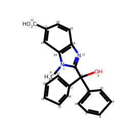 Cn1c(C(O)(c2ccccc2)c2ccccc2)nc2ccc(C(=O)O)cc21